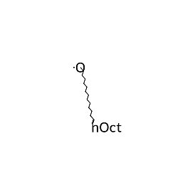 CCCCCCCC/C=C/CCCCCCCCCCCC[O]